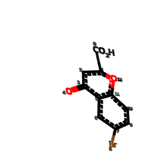 O=C(O)c1cc(=O)c2cc(Br)ccc2o1